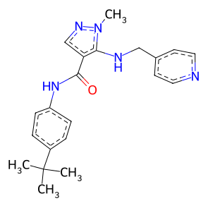 Cn1ncc(C(=O)Nc2ccc(C(C)(C)C)cc2)c1NCc1ccncc1